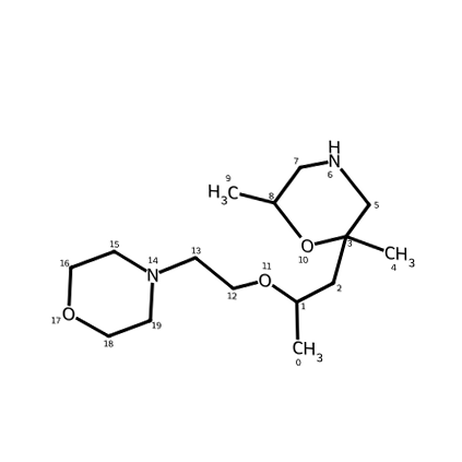 CC(CC1(C)CNCC(C)O1)OCCN1CCOCC1